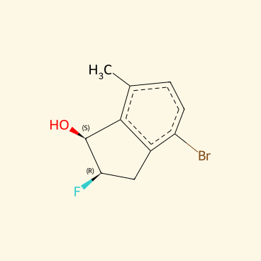 Cc1ccc(Br)c2c1[C@H](O)[C@H](F)C2